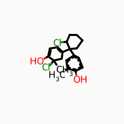 Cc1cc(C2(C3=CC=C(O)C(C)(Cl)C3)CCCCC2Cl)ccc1O